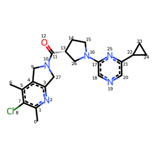 Cc1nc2c(c(C)c1Cl)CN(C(=O)[C@@H]1CCN(c3cncc(C4CC4)n3)C1)C2